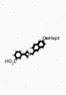 CCCCCCCOc1ccc2cc(CN3CC(C4CCCC(C(=O)O)C4)C3)ccc2c1